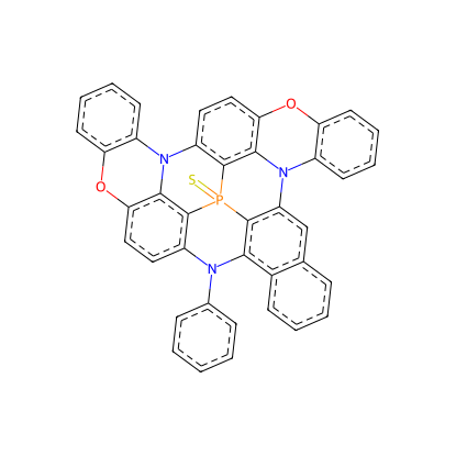 S=P12c3c4ccc5c3N(c3ccccc3O5)c3ccc5c(c31)N(c1ccccc1O5)c1cc3ccccc3c(c12)N4c1ccccc1